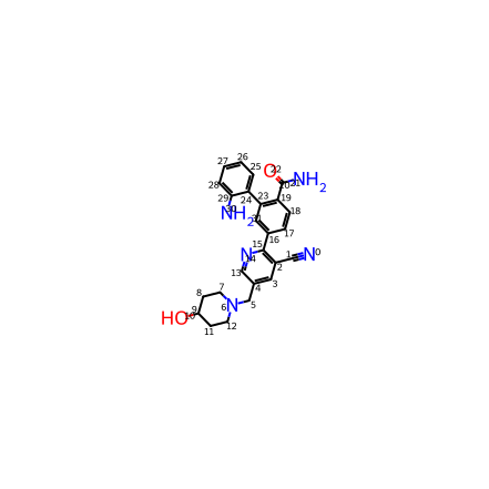 N#Cc1cc(CN2CCC(O)CC2)cnc1-c1ccc(C(N)=O)c(-c2ccccc2N)c1